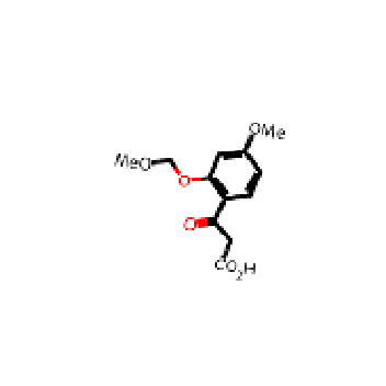 COCOc1cc(OC)ccc1C(=O)CC(=O)O